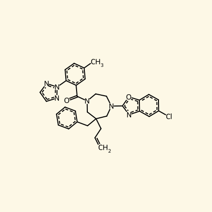 C=CCC1(Cc2ccccc2)CN(C(=O)c2cc(C)ccc2-n2nccn2)CCN(c2nc3cc(Cl)ccc3o2)C1